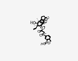 C=C[C@]1(C)C[C@@H](OC(=O)C[S@+]([O-])c2ccc3c(c2)B(O)OC3)[C@]2(C)[C@H](C)CC[C@]3(CCC(=O)[C@H]32)[C@@H](C)[C@@H]1O